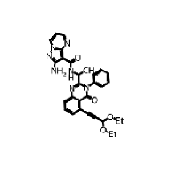 CCOC(C#Cc1cccc2nc(C(C)NC(=O)c3c(N)nn4cccnc34)n(-c3ccccc3)c(=O)c12)OCC